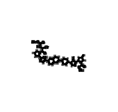 C=C1CC(c2ncc(-c3ccc(-c4ccc5cc(-c6cnc(C7CCCN7C(=O)C(NC(=O)OC)C(C)C)[nH]6)ccc5c4)cc3)[nH]2)N(C(=O)OC(C)(C)C)C1